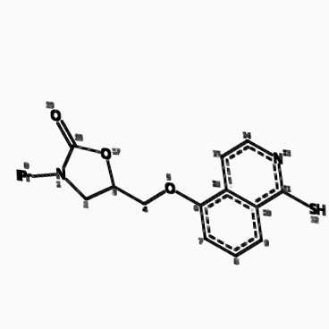 CC(C)N1CC(COc2cccc3c(S)nccc23)OC1=O